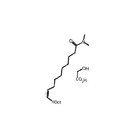 CCCCCCCC/C=C\CCCCCCCC(=O)N(C)C.O=C(O)CO